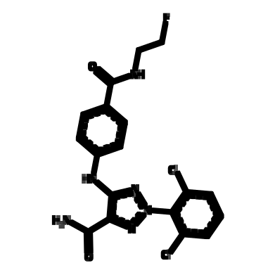 NC(=O)c1nn(-c2c(Cl)cccc2Cl)nc1Nc1ccc(C(=O)NCCF)cc1